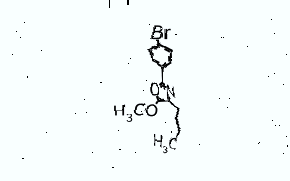 CCCCc1nc(-c2ccc(Br)cc2)oc1OC